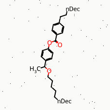 CCCCCCCCCCCCCCCOC(C)c1ccc(OC(=O)c2ccc(CCCCCCCCCCCC)cc2)cc1